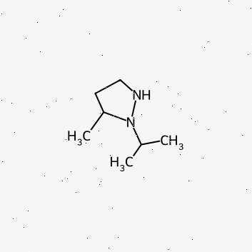 CC(C)N1NCCC1C